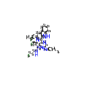 C=C(/N=C\C(=N/C)NCCNCCCF)[C@@H]1c2[nH]c3ccccc3c2C[C@@H](C)N1CC(F)F